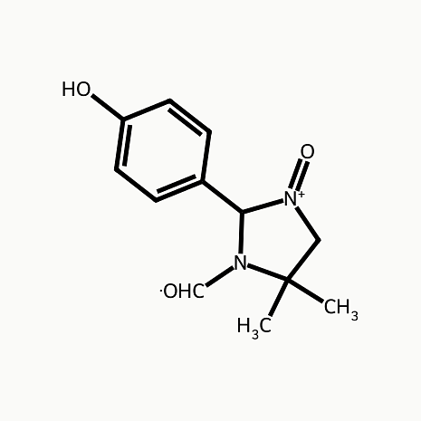 CC1(C)C[N+](=O)C(c2ccc(O)cc2)N1[C]=O